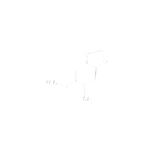 NOC1CC2OCOC2CC1N